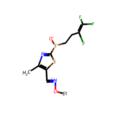 CCO/N=C/c1sc([S+]([O-])CCC(F)=C(F)F)nc1C